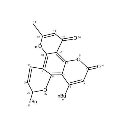 CCCCc1[c]c(=O)oc2c1c1c(c3oc(C)cc(=O)c32)C=CC(CCCC)O1